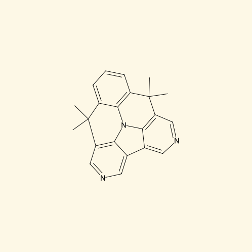 CC1(C)c2cccc3c2-n2c4c1cncc4c1cncc(c12)C3(C)C